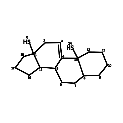 SC12CC=C3C(CCC4CCCCC34S)C1CCC2